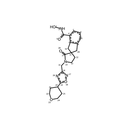 O=C(NO)c1cccc2c1CC1(CCN(Cc3noc(C4CCOCC4)n3)C1=O)C2